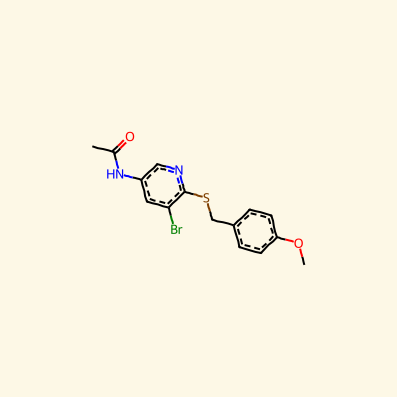 COc1ccc(CSc2ncc(NC(C)=O)cc2Br)cc1